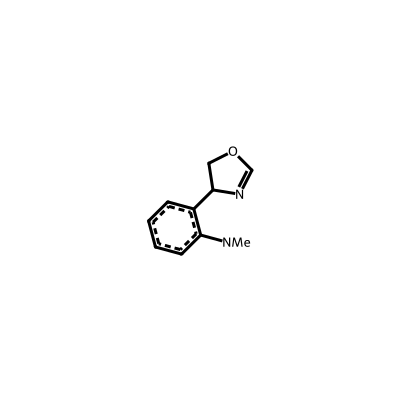 CNc1ccccc1C1COC=N1